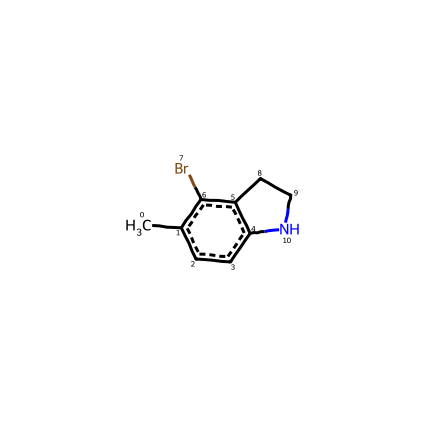 Cc1ccc2c(c1Br)CCN2